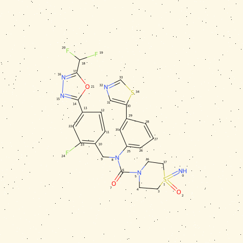 N=S1(=O)CCN(C(=O)N(Cc2ccc(-c3nnc(C(F)F)o3)cc2F)c2cccc(-c3cncs3)c2)CC1